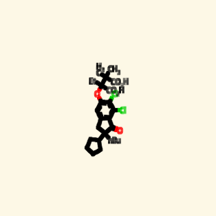 CCCCC1(C2CCCC2)Cc2cc(OC(CC)(C(=O)O)C(C)(C)C(=O)O)c(Cl)c(Cl)c2C1=O